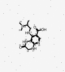 CC(CNc1c(C(=O)O)cnc2c1NC(=O)CN2)N(C)C